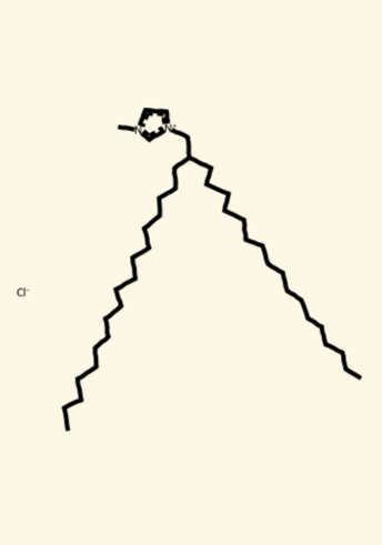 CCCCCCCCCCCCCCCCCCC(CCCCCCCCCCCCCCCCC)C[n+]1ccn(C)c1.[Cl-]